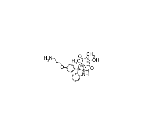 CN1C(=O)[C@]2(C)C[C@]3(c4ccc(OCCCN)cc4)c4ccccc4N[C@@H]3N2C(=O)[C@H]1O